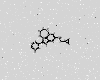 c1ncc(-c2nc3cc(NCC4CC4)cc4c3n2CCCO4)cn1